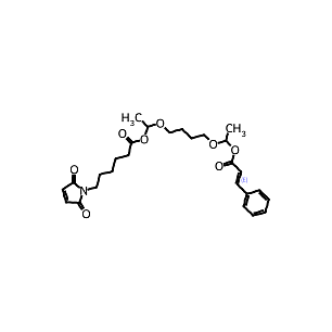 CC(OCCCCOC(C)OC(=O)CCCCCN1C(=O)C=CC1=O)OC(=O)/C=C/c1ccccc1